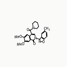 COc1cc2c(C(=O)N3CCCCC3)cn(-c3noc4ccc(C)cc34)c(=O)c2cc1OC